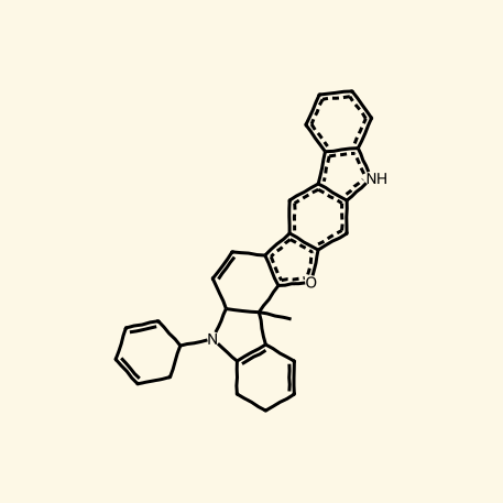 CC12C3=C(CCC=C3)N(C3C=CC=CC3)C1C=Cc1c2oc2cc3[nH]c4ccccc4c3cc12